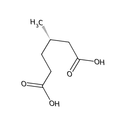 C[C@@H](CCC(=O)O)CC(=O)O